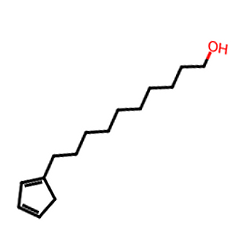 OCCCCCCCCCCC1=CC=CC1